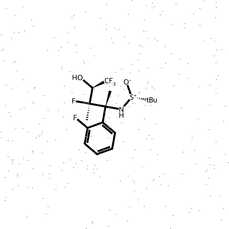 CC(C)(C)[S@@+]([O-])N[C@](C)(c1ccccc1F)[C@@](C)(F)[C@@H](O)C(F)(F)F